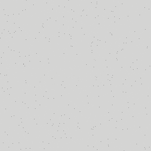 N#CC1=CCC(c2ccc3sc4c(ccc5c6ccccc6sc54)c3c2)CC(n2c3ccccc3c3ccccc32)=C1